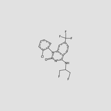 O=c1nc(NC(CF)CF)c2ccc(C(F)(F)F)cc2n1-c1ccccc1Cl